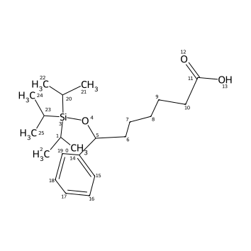 CC(C)[Si](OC(CCCCCC(=O)O)c1ccccc1)(C(C)C)C(C)C